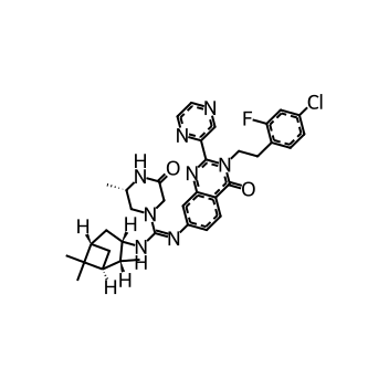 C[C@H]1[C@@H](NC(=Nc2ccc3c(=O)n(CCc4ccc(Cl)cc4F)c(-c4cnccn4)nc3c2)N2CC(=O)N[C@@H](C)C2)C[C@@H]2C[C@@H]1C2(C)C